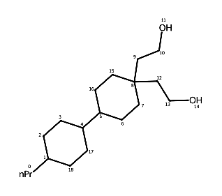 CCCC1CCC(C2CCC(CCO)(CCO)CC2)CC1